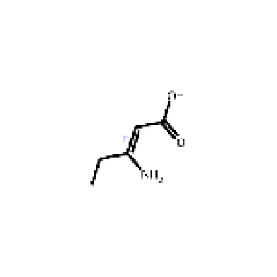 CC/C(N)=C/C(=O)O